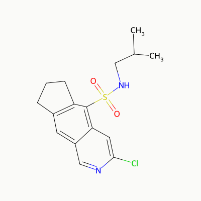 CC(C)CNS(=O)(=O)c1c2c(cc3cnc(Cl)cc13)CCC2